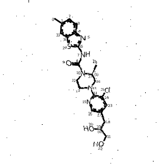 Cc1ccc2nc(NC(=O)N3CCN(c4ncc(C[C@H](O)CO)cc4Cl)C[C@@H]3C)sc2c1